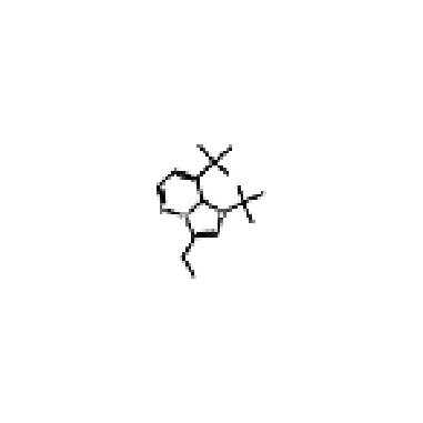 CCC1=CN(C(C)(C)C)C2C(C(C)(C)C)=CC=NN12